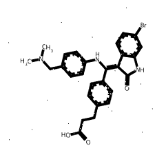 CN(C)Cc1ccc(NC(=C2C(=O)Nc3cc(Br)ccc32)c2ccc(CCC(=O)O)cc2)cc1